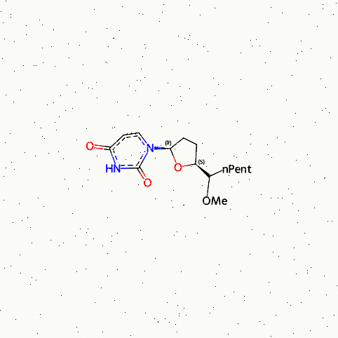 CCCCCC(OC)[C@@H]1CC[C@H](n2ccc(=O)[nH]c2=O)O1